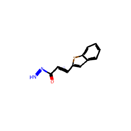 N=NC(=O)/C=C/c1cc2ccccc2s1